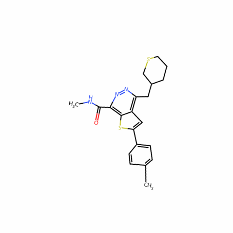 CNC(=O)c1nnc(CC2CCCSC2)c2cc(-c3ccc(C)cc3)sc12